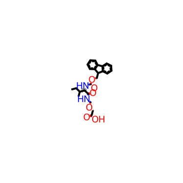 CCC(C)[C@H](NC(=O)OCC1c2ccccc2-c2ccccc21)C(=O)NCOCC(=O)O